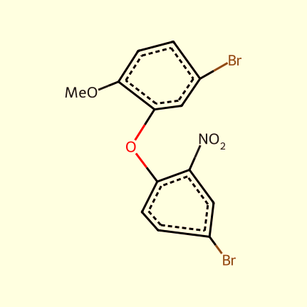 COc1ccc(Br)cc1Oc1ccc(Br)cc1[N+](=O)[O-]